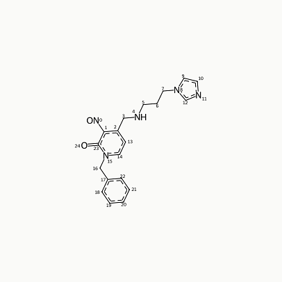 O=Nc1c(CNCCCn2ccnc2)ccn(Cc2ccccc2)c1=O